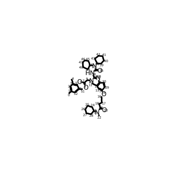 Cc1cc(C)c(OC(=O)CN2Cc3cc(OCCCC(=O)N(C)C4CCCCC4)ccc3N=C2NC(=O)N(C2CCCCC2)C2CCCCC2)c(C)c1